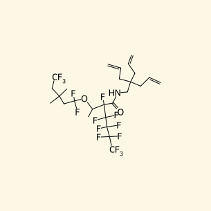 C=CCC(CC=C)(CC=C)CNC(=O)C(F)(C(C)OC(F)(F)CC(C)(C)CC(F)(F)F)C(F)(F)C(F)(F)C(F)(F)C(F)(F)F